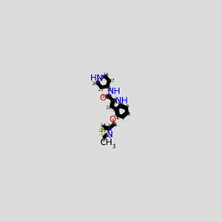 Cc1nc(COc2cccc3[nH]c(C(=O)NC4CCNCC4)cc23)cs1